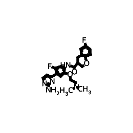 CN(C)CCOc1cc(-c2ccnc(N)n2)c(F)cc1NC(=O)C1COc2ccc(F)cc2C1